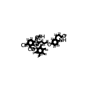 Cc1c(C)c(C)c(S(=O)(=O)c2c([N+](=CCCCOc3ccc4c(c3)CCC(=O)N4)OS)ccc(Cl)c2Cl)c(C)c1C